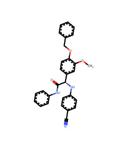 COc1cc([C@@H](Nc2ccc(C#N)cc2)C(=O)Nc2ccccc2)ccc1OCc1ccccc1